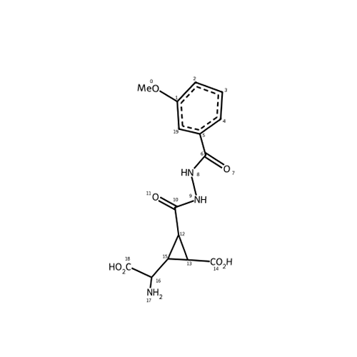 COc1cccc(C(=O)NNC(=O)C2C(C(=O)O)C2C(N)C(=O)O)c1